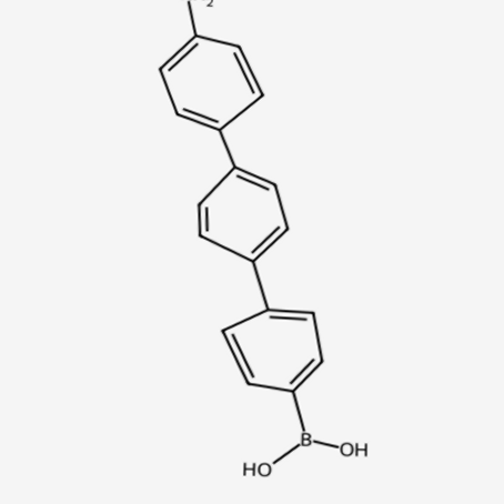 Nc1ccc(-c2ccc(-c3ccc(B(O)O)cc3)cc2)cc1